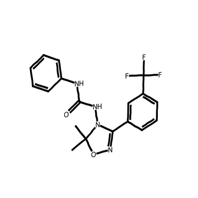 CC1(C)ON=C(c2cccc(C(F)(F)F)c2)N1NC(=O)Nc1ccccc1